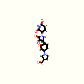 O=CC1CCN(c2ccc3c4c(oc3c2)C(=O)N(C2CCC(=O)NC2=O)C4)C1